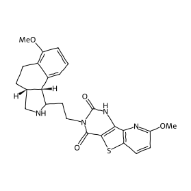 COc1ccc2sc3c(=O)n(CCC4NC[C@@H]5CCc6c(OC)cccc6[C@H]45)c(=O)[nH]c3c2n1